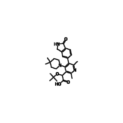 Cc1nc(C)c(C(OC(C)(C)C)C(=O)O)c(N2CCC(C)(C)CC2)c1-c1ccc2c(c1)CNC2=O